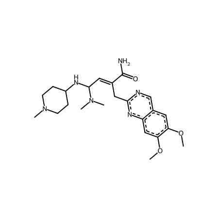 COc1cc2cnc(CC(=CC(NC3CCN(C)CC3)N(C)C)C(N)=O)nc2cc1OC